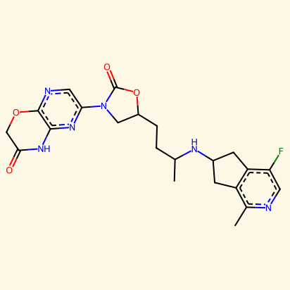 Cc1ncc(F)c2c1CC(NC(C)CCC1CN(c3cnc4c(n3)NC(=O)CO4)C(=O)O1)C2